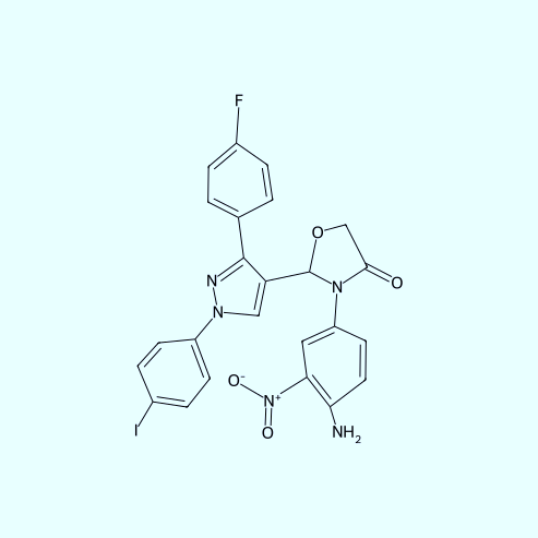 Nc1ccc(N2C(=O)COC2c2cn(-c3ccc(I)cc3)nc2-c2ccc(F)cc2)cc1[N+](=O)[O-]